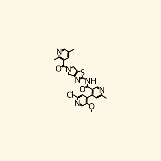 COc1cnc(Cl)cc1-c1cc(C)ncc1C(=O)Nc1nc2c(s1)CN(C(=O)c1cc(C)cnc1C)C2